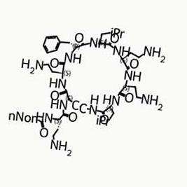 CCCCCCCCCC(=O)N[C@@H](CCN)C(=O)N[C@H]1CCNC(=O)[C@H](CC(C)C)NC(=O)[C@H](CCN)NC(=O)[C@H](CCN)NC(=O)[C@H](CC(C)C)NC(=O)[C@@H](Cc2ccccc2)NC(=O)[C@H](CCN)NC1=O